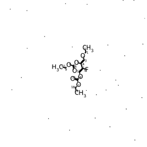 CCOC=C(OC(=O)OCC)C(F)=COC(=O)OCC